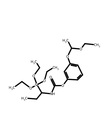 CCOC(C)Oc1cccc(OC(=O)NC(CC)[Si](OCC)(OCC)OCC)c1